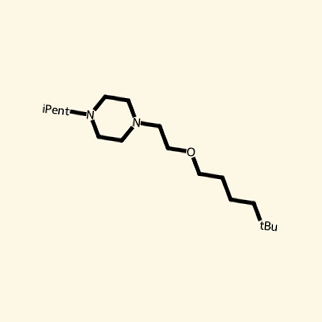 CCCC(C)N1CCN(CCOCCCCC(C)(C)C)CC1